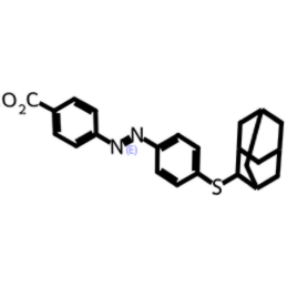 O=C(O)c1ccc(/N=N/c2ccc(SC3C4CC5CC(C4)CC3C5)cc2)cc1